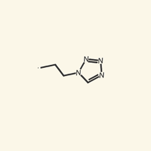 [CH2]CCn1cnnn1